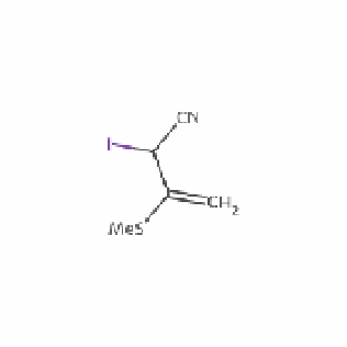 C=C(SC)C(I)C#N